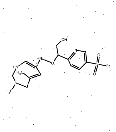 CCS(=O)(=O)c1ccc(C(CO)ONC2=C/NCN(C)C\C(C)=C\2)nc1